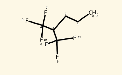 [CH2]CCC(C(F)(F)F)C(F)(F)F